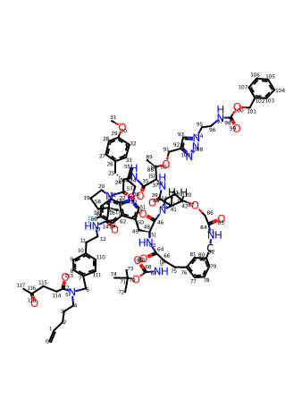 C=CCCCN(Cc1ccc(CCNC(=O)[C@]2(C)CCCN2C(=O)[C@H](Cc2ccc(OC)cc2)NC(=O)[C@@H](NC(=O)[C@@H]2[C@@H]3CCN2C(=O)[C@H](Cc2cn(CC=C)c4ccc(F)cc24)NC(=O)[C@@H](NC(=O)OC(C)(C)C)Cc2cccc(c2)CNC(=O)CO3)[C@@H](C)OCc2cn(CCNC(=O)OCc3ccccc3)nn2)cc1)C(=O)CCC(C)=O